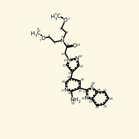 COCCN(CCOC)C(=O)Cn1cc(-c2cnc(N)c(-c3nc4ccccc4s3)c2)cn1